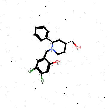 OC[C@@H]1CCN(Cc2cc(Cl)c(Cl)cc2O)[C@@H](c2ccccc2)C1